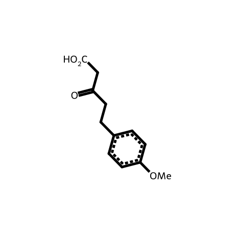 COc1ccc(CCC(=O)CC(=O)O)cc1